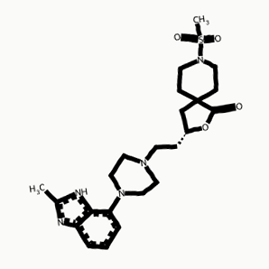 Cc1nc2cccc(N3CCN(CC[C@@H]4CC5(CCN(S(C)(=O)=O)CC5)C(=O)O4)CC3)c2[nH]1